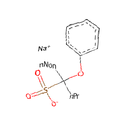 CCCCCCCCCC(CCC)(Oc1ccccc1)S(=O)(=O)[O-].[Na+]